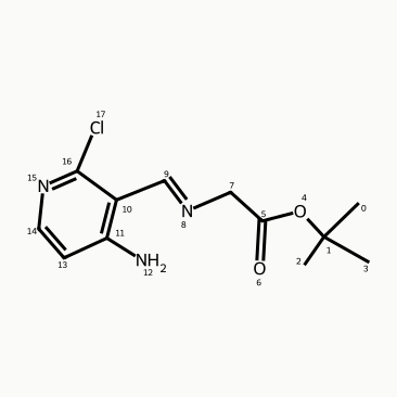 CC(C)(C)OC(=O)C/N=C/c1c(N)ccnc1Cl